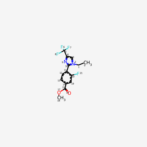 CCn1cc(C(F)(F)F)nc1-c1ccc(C(=O)OC)cc1F